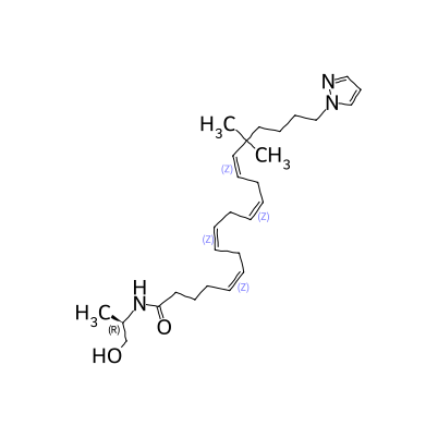 C[C@H](CO)NC(=O)CCC/C=C\C/C=C\C/C=C\C/C=C\C(C)(C)CCCCn1cccn1